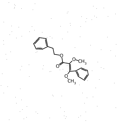 COC(C(=O)OCCc1ccccc1)=C(OC)c1ccccc1